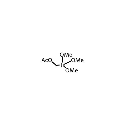 C[O][Ti]([CH2]OC(C)=O)([O]C)[O]C